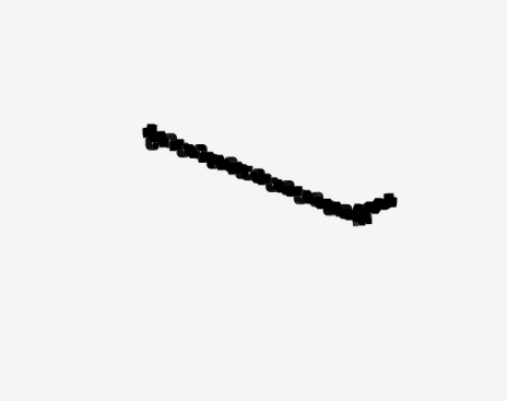 CC(C)CCCCn1cc(COCCOCCOCCOCCOCCOCCOCCOCCOCCOCCOCCOCCOCCC(=O)C(C)C)nn1